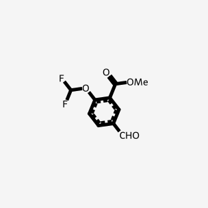 COC(=O)c1cc(C=O)ccc1OC(F)F